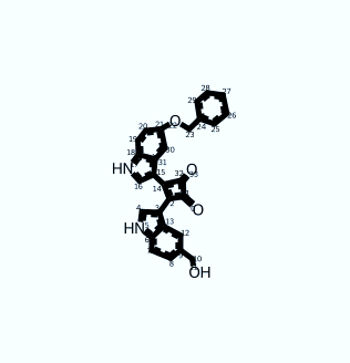 O=c1c(-c2c[nH]c3ccc(CO)cc23)c(-c2c[nH]c3ccc(OCc4ccccc4)cc23)c1=O